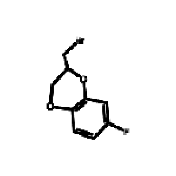 Fc1ccc2c(c1)OC(CBr)CO2